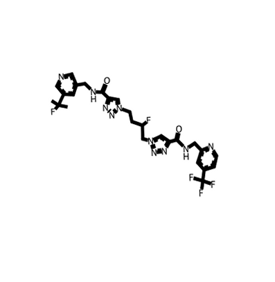 CC(C)(F)c1cncc(CNC(=O)c2cn(CCC(F)Cn3cc(C(=O)NCc4cc(C(F)(F)F)ccn4)nn3)nn2)c1